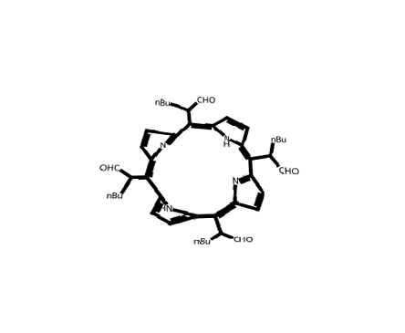 CCCCC(C=O)c1c2nc(c(C(C=O)CCCC)c3ccc([nH]3)c(C(C=O)CCCC)c3nc(c(C(C=O)CCCC)c4ccc1[nH]4)C=C3)C=C2